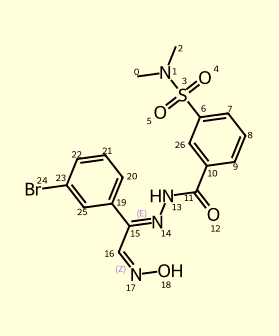 CN(C)S(=O)(=O)c1cccc(C(=O)N/N=C(/C=N\O)c2cccc(Br)c2)c1